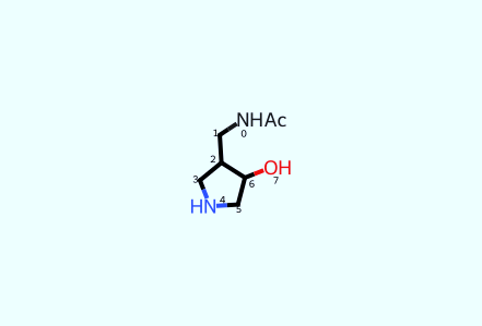 CC(=O)NCC1CNCC1O